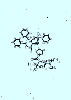 CN[C@@H](C)C(=O)N[C@H](C(=O)N1CCC[C@H]1CN(CCc1ccccc1)C(=O)[C@@H](Cc1ccccc1)NS(=O)(=O)c1ccccc1)C(C)(C)C